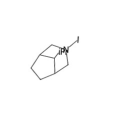 CC(C)C1C2CCC1CN(I)C2